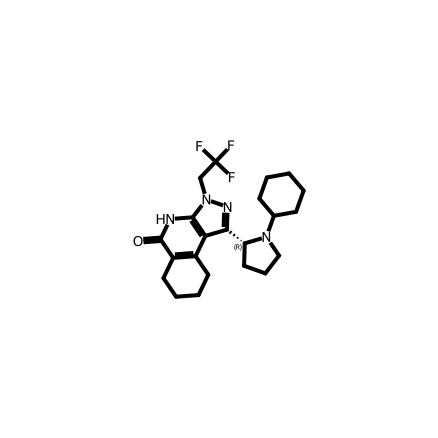 O=c1[nH]c2c(c([C@H]3CCCN3C3CCCCC3)nn2CC(F)(F)F)c2c1CCCC2